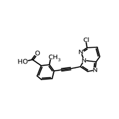 Cc1c(C#Cc2cnc3ccc(Cl)nn23)cccc1C(=O)O